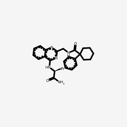 CC(C)[C@H](Nc1nc(CNC(=O)C2(c3ccccc3)CCCCC2)nc2ccccc12)C(N)=O